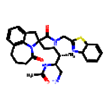 CC(=O)N[C@H](CN)[C@@H](C)CCC1(C(=O)NCC2=NC3C=CC=CC3S2)Cc2cccc3c2N1C(=O)CCC3